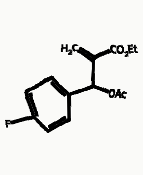 C=C(C(=O)OCC)C(OC(C)=O)c1ccc(F)cc1